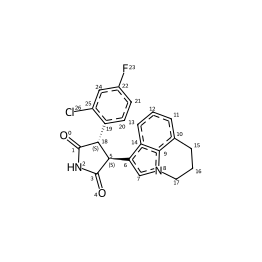 O=C1NC(=O)[C@H](c2cn3c4c(cccc24)CCC3)[C@H]1c1ccc(F)cc1Cl